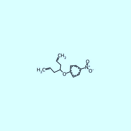 C=CCC(CC=C)Oc1ccc([N+](=O)[O-])cc1